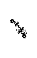 Cn1cc(C[C@H]2NC(=O)[C@@H](CCCNC(=O)OCc3ccccc3)NC2=O)c2ccccc21